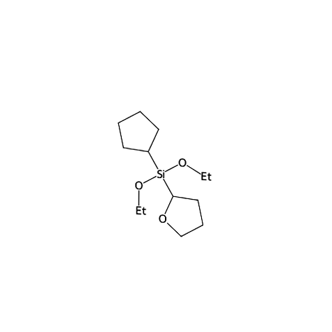 CCO[Si](OCC)(C1CCCC1)C1CCCO1